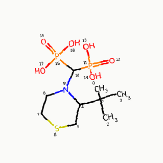 CC(C)(C)C1CSCCN1C(P(=O)(O)O)P(=O)(O)O